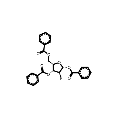 O=C(OC[C@H]1O[C@H](OC(=O)c2ccccc2)[C@@H](F)[C@@H]1OC(=O)c1ccccc1)c1ccccc1